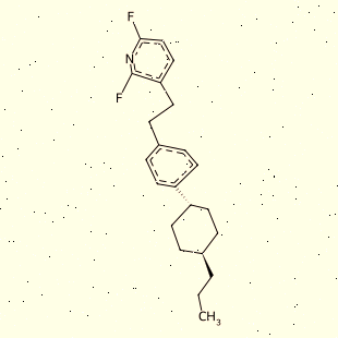 CCC[C@H]1CC[C@H](c2ccc(CCc3ccc(F)nc3F)cc2)CC1